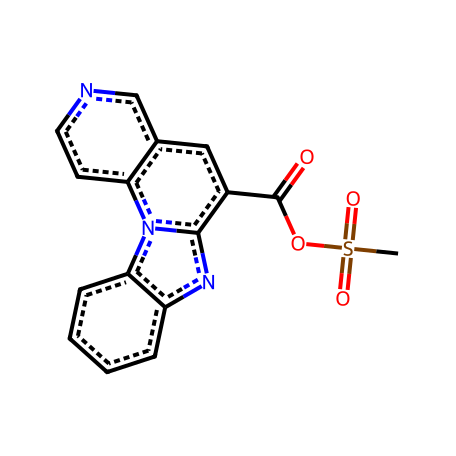 CS(=O)(=O)OC(=O)c1cc2cnccc2n2c1nc1ccccc12